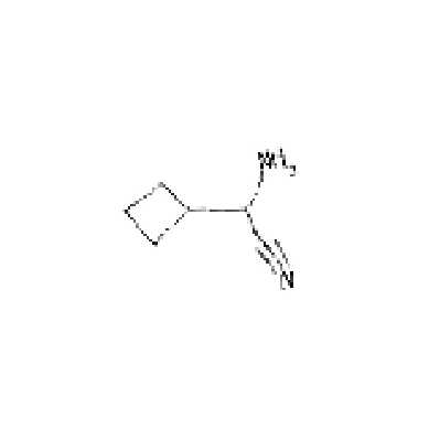 N#CC(N)C1CCC1